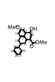 COC(=O)C1=CC(O)c2cc(OC)cc3c2C1CC(c1ccccc1)C3